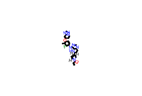 C=CC(=O)N1C[C@H]2CC[C@@H]1C[C@H]2c1ccc2ncnc(Nc3ccc(Oc4ccn5ncnc5c4)c(C)c3F)c2n1